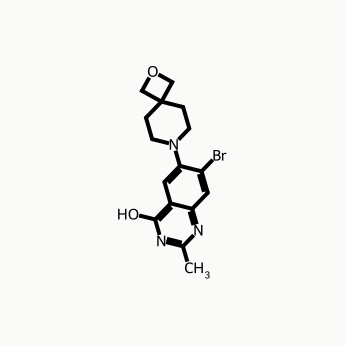 Cc1nc(O)c2cc(N3CCC4(CC3)COC4)c(Br)cc2n1